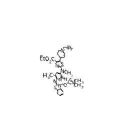 CCOC(=O)c1nc(N(C)c2cc(C)c(N=c3sc4ccccc4n3COCC[Si](C)(C)C)nn2)sc1C1CCN(CC(C)C)CC1